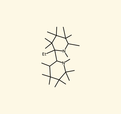 CCC1(C2C(C)C(C)(C)C(C)(C)C(C)(C)N2C)N(C)C(C)C(C)(C)C(C)(C)C1(C)C